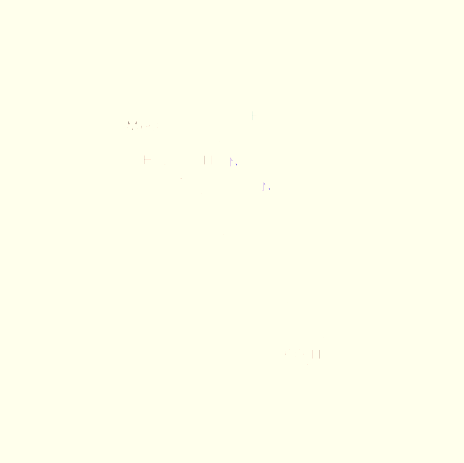 COc1ccc(F)c(-n2cnc(COc3cccc(C(CC(=O)O)SC4CC4)c3)c2C2=CCCC2(C)C)c1